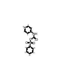 O=C(Nc1ccncc1)OS(=O)(=O)c1ccccc1